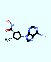 C[C@H]1C[C@@H](n2cnc3c(N)ncnc32)C[C@@H]1C(=O)NO